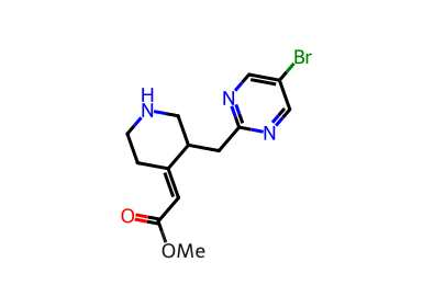 COC(=O)C=C1CCNCC1Cc1ncc(Br)cn1